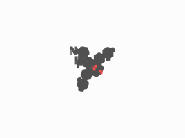 Cc1ccc(-c2ccc3c(c2)c2ccccc2n3-c2cc(-c3cccc(C#N)c3)c(C(F)(F)F)cc2-n2c3ccccc3c3cc(-c4ccc(C)cc4C)ccc32)c(C)c1